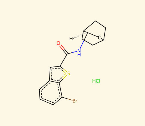 Cl.O=C(N[C@@H]1CC2CCC1CC2)c1cc2cccc(Br)c2s1